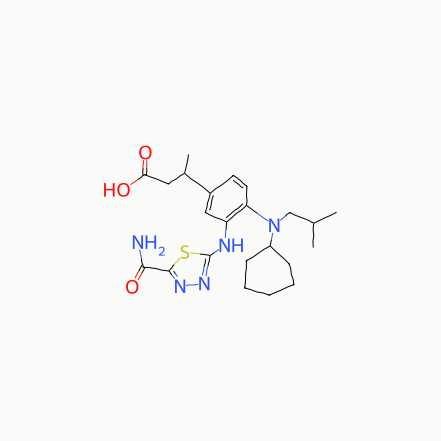 CC(C)CN(c1ccc(C(C)CC(=O)O)cc1Nc1nnc(C(N)=O)s1)C1CCCCC1